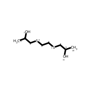 CC(O)CSCCSCC(C)O